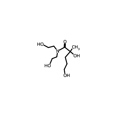 CC(O)(CCCO)C(=O)N(CCO)CCO